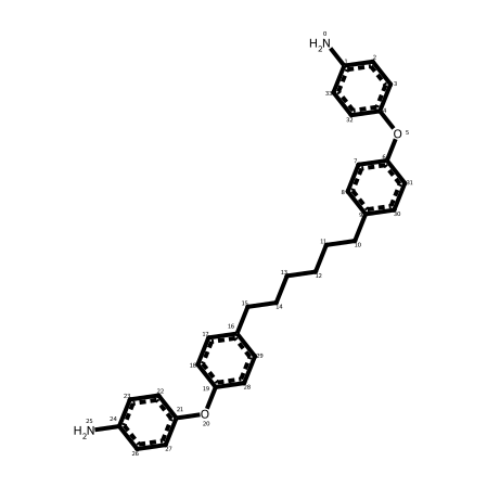 Nc1ccc(Oc2ccc(CCCCCCc3ccc(Oc4ccc(N)cc4)cc3)cc2)cc1